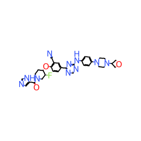 N#Cc1cc(-c2ncnc(Nc3ccc(N4CCN(C5COC5)CC4)cc3)n2)ccc1O[C@H]1CCN(C(=O)c2cnc[nH]2)C[C@@H]1F